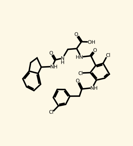 O=C(Cc1cccc(Cl)c1)Nc1ccc(Cl)c(C(=O)NC(CNC(=O)NC2CCc3ccccc32)C(=O)O)c1Cl